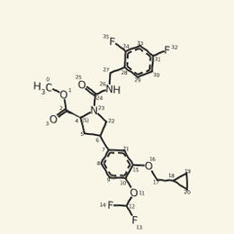 COC(=O)[C@@H]1CC(c2ccc(OC(F)F)c(OCC3CC3)c2)CN1C(=O)NCc1ccc(F)cc1F